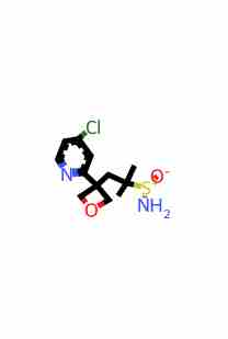 CC(C)(CC1(c2cc(Cl)ccn2)COC1)[S+](N)[O-]